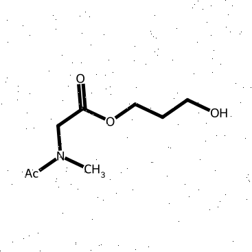 [CH2]C(=O)N(C)CC(=O)OCCCO